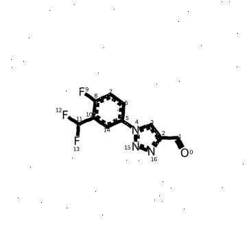 O=Cc1cn(-c2ccc(F)c(C(F)F)c2)nn1